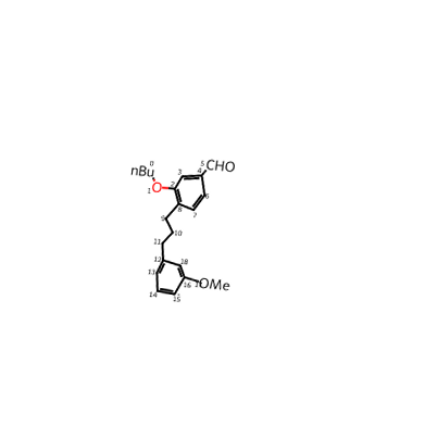 CCCCOc1cc(C=O)ccc1CCCc1cc[c]c(OC)c1